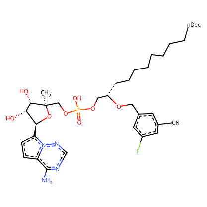 CCCCCCCCCCCCCCCCCC[C@@H](COP(=O)(O)OC[C@@]1(C)O[C@@H](c2ccc3c(N)ncnn23)[C@H](O)[C@@H]1O)OCc1cc(F)cc(C#N)c1